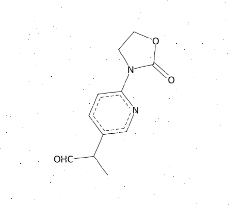 CC(C=O)c1ccc(N2CCOC2=O)nc1